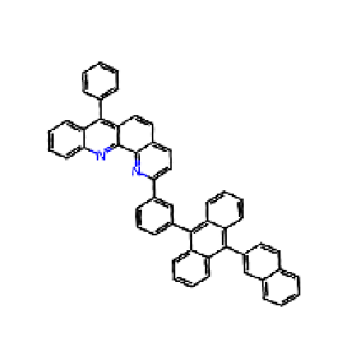 c1ccc(-c2c3ccccc3nc3c2ccc2ccc(-c4cccc(-c5c6ccccc6c(-c6ccc7ccccc7c6)c6ccccc56)c4)nc23)cc1